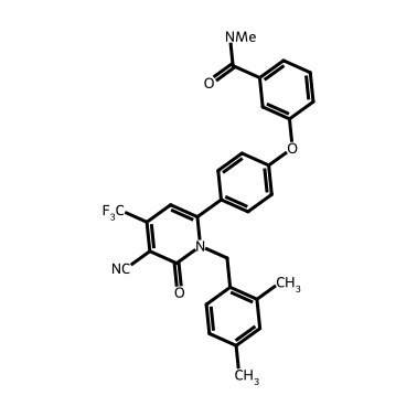 CNC(=O)c1cccc(Oc2ccc(-c3cc(C(F)(F)F)c(C#N)c(=O)n3Cc3ccc(C)cc3C)cc2)c1